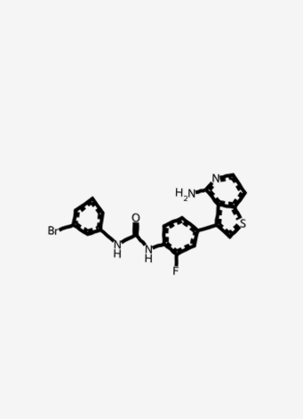 Nc1nccc2scc(-c3ccc(NC(=O)Nc4cccc(Br)c4)c(F)c3)c12